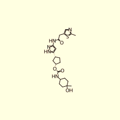 Cc1ncc(CC(=O)Nc2cc([C@@H]3CC[C@H](OC(=O)NC4CCC(C)(O)CC4)C3)[nH]n2)s1